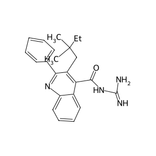 CCC(C)(C)Cc1c(-c2ccccc2)nc2ccccc2c1C(=O)NC(=N)N